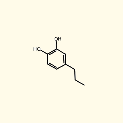 CCCc1ccc(O)c(O)c1